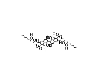 CCCCCC(O)CC(O)CC1Cc2cc3cc(OC)c(-c4c(OC)cc5cc6c(c(O)c5c4O)C(=O)OC(CC(O)CC(O)CCCCC)C6)c(O)c3c(O)c2C(=O)O1